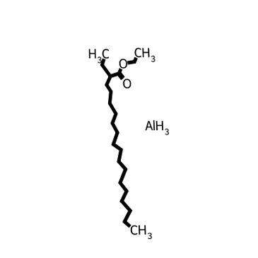 CCCCCCCCCCCCCCCCC(CC)C(=O)OCC.[AlH3]